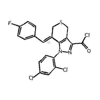 O=C(Cl)c1nn(-c2ccc(Cl)cc2Cl)c2c1CSC/C2=C\c1ccc(F)cc1